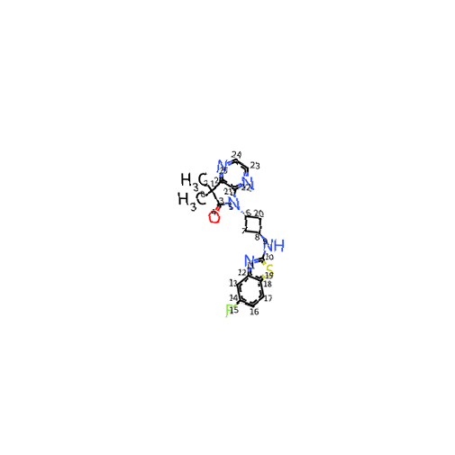 CC1(C)C(=O)N([C@H]2C[C@H](Nc3nc4cc(F)ccc4s3)C2)c2nccnc21